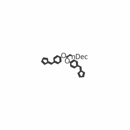 CCCCCCCCCCCC(Oc1ccc(C=C2C=CC=C2)cc1)Oc1ccc(C=C2C=CC=C2)cc1